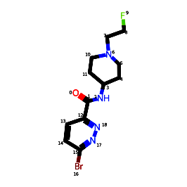 O=C(NC1CCN(CCF)CC1)c1ccc(Br)nn1